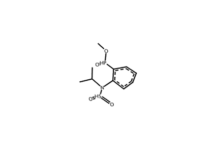 CO[PH](=O)c1ccccc1N(C(C)C)[SH](=O)=O